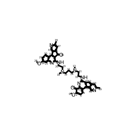 COC1=CC=c2c(nc(NCCN(C)CCCN(C)CCNc3nc4cc(OC)ccc4c4c3C(=O)c3cc(C)ncc3-4)c3c2=c2cnc(C)cc2=C3)C1=O